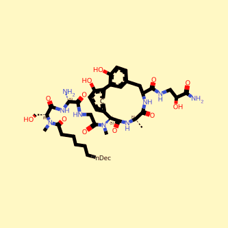 CCCCCCCCCCCCCCCC(=O)N(C)[C@H](CO)C(=O)N[C@H](N)C(=O)NCC(=O)N(C)[C@@H]1C(=O)N[C@@H](C)C(=O)NC(C(=O)NCC(O)C(N)=O)Cc2ccc(O)c(c2)-c2cc1ccc2O